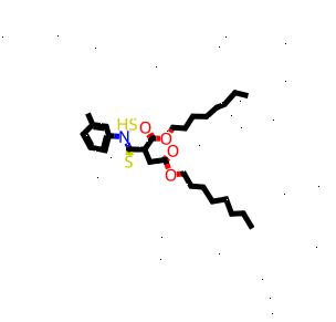 CCCCCCCCOC(=O)CC(C(=O)OCCCCCCCC)C(=S)N(S)c1cccc(C)c1